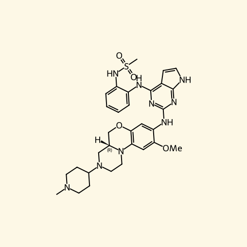 COc1cc2c(cc1Nc1nc(Nc3ccccc3NS(C)(=O)=O)c3cc[nH]c3n1)OC[C@H]1CN(C3CCN(C)CC3)CCN21